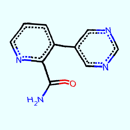 NC(=O)c1ncccc1-c1cncnc1